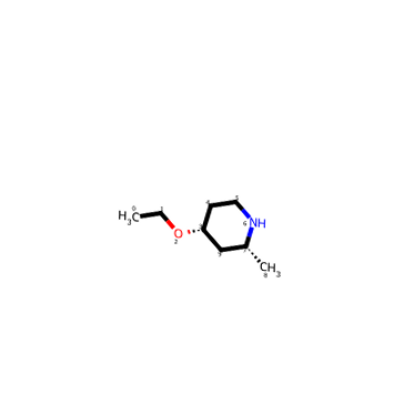 CCO[C@@H]1CCN[C@H](C)C1